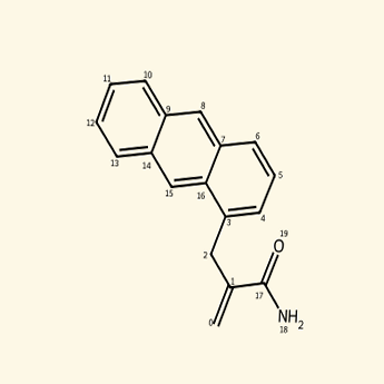 C=C(Cc1cccc2cc3ccccc3cc12)C(N)=O